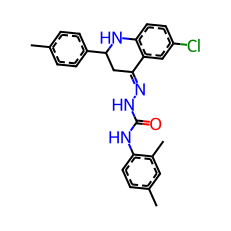 Cc1ccc(C2CC(=NNC(=O)Nc3ccc(C)cc3C)c3cc(Cl)ccc3N2)cc1